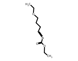 CCOCCCC=NC(=O)OCC